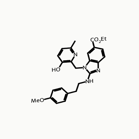 CCOC(=O)c1ccc2nc(NCCc3ccc(OC)cc3)n(Cc3nc(C)ccc3O)c2c1